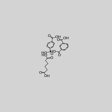 O=C(O)CCCCC(=O)O.O=C(O)c1ccc(C(=O)O)cc1.O=C(O)c1cccc(C(=O)O)c1